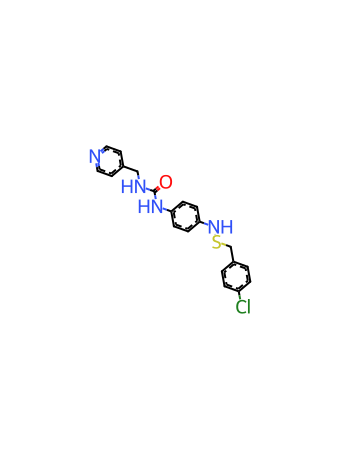 O=C(NCc1ccncc1)Nc1ccc(NSCc2ccc(Cl)cc2)cc1